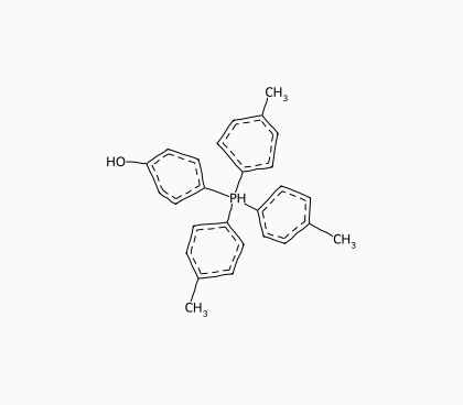 Cc1ccc([PH](c2ccc(C)cc2)(c2ccc(C)cc2)c2ccc(O)cc2)cc1